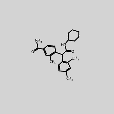 Cc1ccc(C(C(=O)NC2CCCCC2)c2ccc(C(N)=O)cc2C(F)(F)F)c(C)c1